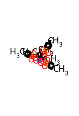 CCC(OS(=O)(=O)c1ccc(C)cc1)C(C(CC)OS(=O)(=O)c1ccc(C)cc1)(C(CC)OS(=O)(=O)c1ccc(C)cc1)[N+](=O)[O-]